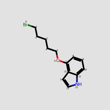 BrCCCCCOc1cccc2[nH]ccc12